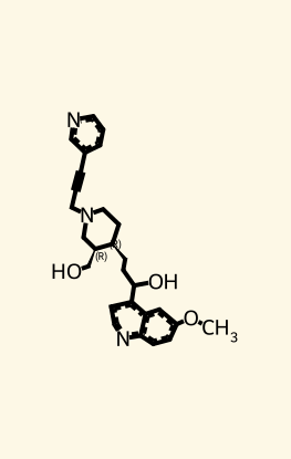 COc1ccc2nccc(C(O)CC[C@@H]3CCN(CC#Cc4cccnc4)C[C@@H]3CO)c2c1